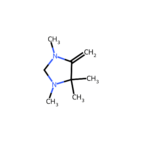 C=C1N(C)CN(C)C1(C)C